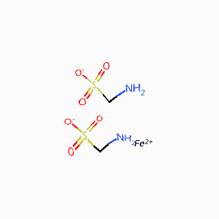 NCS(=O)(=O)[O-].NCS(=O)(=O)[O-].[Fe+2]